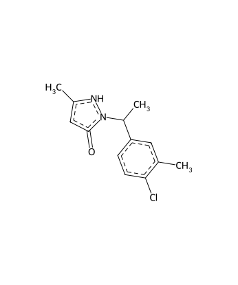 Cc1cc(=O)n(C(C)c2ccc(Cl)c(C)c2)[nH]1